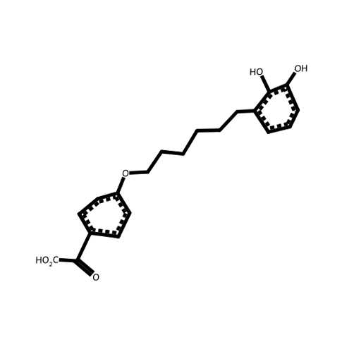 O=C(O)C(=O)c1ccc(OCCCCCCc2cccc(O)c2O)cc1